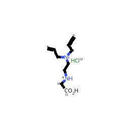 C=CCN(CC=C)CCNCC(=O)O.Cl